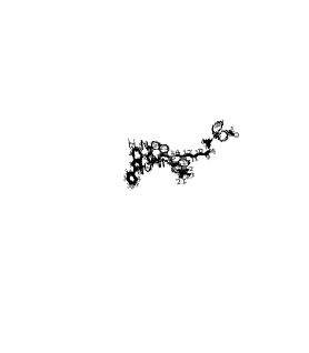 CCOC(=O)[C@H]1C[C@H]1/C=C\CCCCC[C@H](NC(=O)OC(C)(C)C)C(=O)N1C[C@H](Oc2nc(-c3ccccc3)cc3c2CCCC3)C[C@H]1C(N)=O